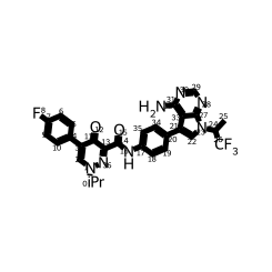 CC(C)n1cc(-c2ccc(F)cc2)c(=O)c(C(=O)Nc2ccc(-c3cn(C(C)C(F)(F)F)c4ncnc(N)c34)cc2)n1